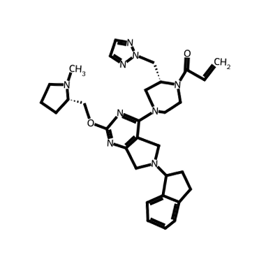 C=CC(=O)N1CCN(c2nc(OC[C@@H]3CCCN3C)nc3c2CN(C2CCc4ccccc42)C3)C[C@@H]1Cn1nccn1